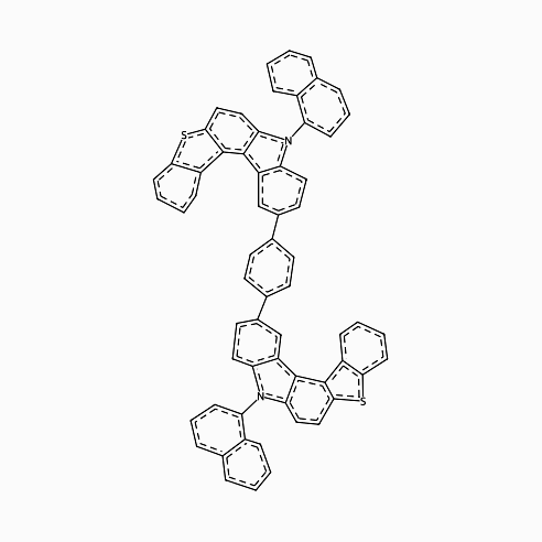 c1ccc2c(-n3c4ccc(-c5ccc(-c6ccc7c(c6)c6c8c(ccc6n7-c6cccc7ccccc67)sc6ccccc68)cc5)cc4c4c5c(ccc43)sc3ccccc35)cccc2c1